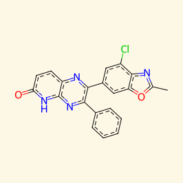 Cc1nc2c(Cl)cc(-c3nc4ccc(=O)[nH]c4nc3-c3ccccc3)cc2o1